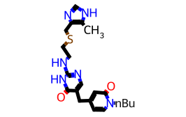 CCCCn1ccc(Cc2cnc(NCCSCc3nc[nH]c3C)[nH]c2=O)cc1=O